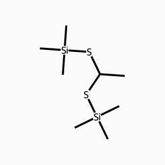 CC(S[Si](C)(C)C)S[Si](C)(C)C